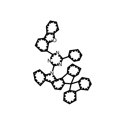 c1ccc(-c2nc(-c3cccc4c3oc3ccccc34)nc(-n3c4ccccc4c4ccc5c(c43)-c3ccccc3C53c4ccccc4-c4ccccc43)n2)cc1